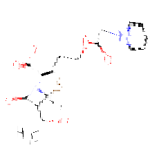 C[C@@H](O)[C@H]1C(=O)N2C(C(=O)[O-])=C(CCOC(=O)C[n+]3ccccc3)S[C@H]12